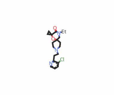 CCN1CC2(CCN(CCc3ncccc3Cl)CC2)OC2(CC2)C1=O